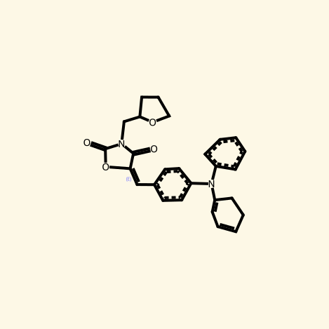 O=C1O/C(=C/c2ccc(N(C3=CC=CCC3)c3ccccc3)cc2)C(=O)N1CC1CCCO1